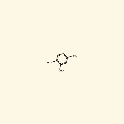 Bc1cc(C=O)c(N)cn1